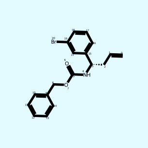 C=CC[C@H](NC(=O)OCc1ccccc1)c1cccc(Br)c1